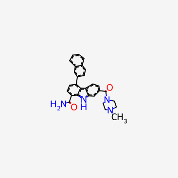 CN1CCN(C(=O)c2ccc3c(c2)[nH]c2c(C(N)=O)ccc(-c4ccc5ccccc5c4)c23)CC1